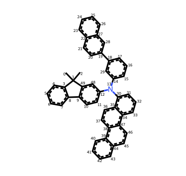 CC1(C)c2ccccc2-c2ccc(N(c3cccc(-c4ccc5ccccc5c4)c3)c3cccc4c3ccc3c5ccccc5ccc43)cc21